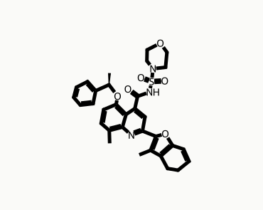 Cc1c(-c2cc(C(=O)NS(=O)(=O)N3CCOCC3)c3c(O[C@H](C)c4ccccc4)ccc(C)c3n2)oc2c1CCC=C2